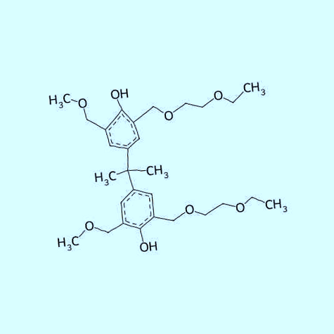 CCOCCOCc1cc(C(C)(C)c2cc(COC)c(O)c(COCCOCC)c2)cc(COC)c1O